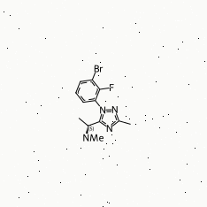 CN[C@@H](C)c1nc(C)nn1-c1cccc(Br)c1F